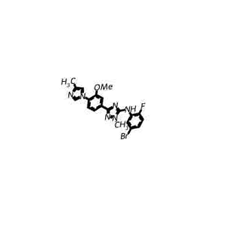 COc1cc(-c2nc(Nc3cc(Br)ccc3F)n(C)n2)ccc1-n1cnc(C)c1